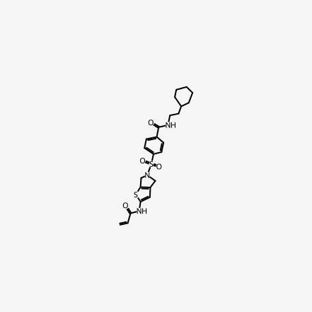 C=CC(=O)Nc1cc2c(s1)CN(S(=O)(=O)c1ccc(C(=O)NCCC3CCCCC3)cc1)C2